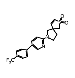 O=S1(=O)C=CC2(CCN(c3ccc(-c4ccc(C(F)(F)F)cc4)cn3)C2)C1